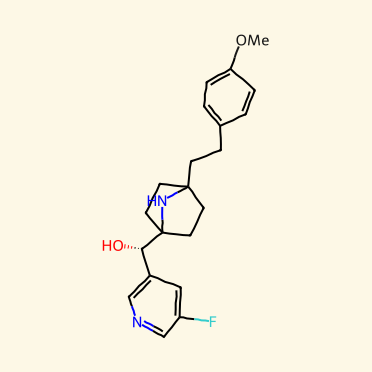 COc1ccc(CCC23CCC([C@@H](O)c4cncc(F)c4)(CC2)N3)cc1